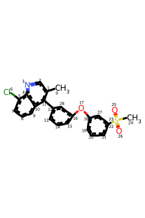 Cc1cnc2c(Cl)cccc2c1-c1cccc(Oc2cccc(S(C)(=O)=O)c2)c1